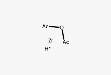 CC(=O)OC(C)=O.[H+].[Zr]